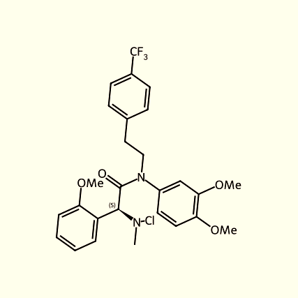 COc1ccc(N(CCc2ccc(C(F)(F)F)cc2)C(=O)[C@H](c2ccccc2OC)N(C)Cl)cc1OC